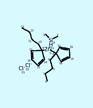 CCCC[C]1([Zr+2]([SiH](C)C)[C]2(CCCC)C=CC=C2)C=CC=C1.[Cl-].[Cl-]